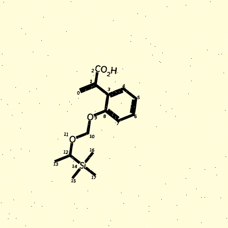 C=C(C(=O)O)c1ccccc1OCOC(C)[Si](C)(C)C